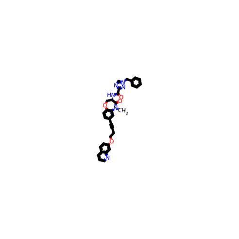 CN1C(=O)[C@@H](NC(=O)c2ncn(Cc3ccccc3)n2)COc2ccc(C#CCCOc3ccc4cccnc4c3)cc21